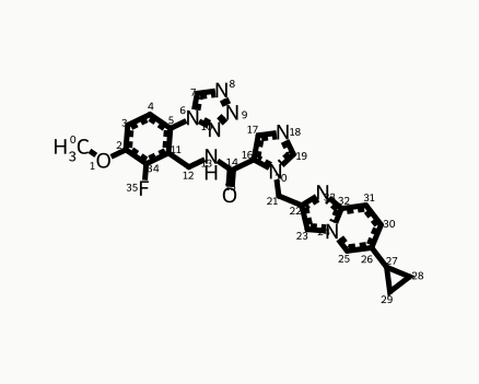 COc1ccc(-n2cnnn2)c(CNC(=O)c2cncn2Cc2cn3cc(C4CC4)ccc3n2)c1F